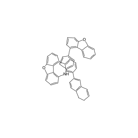 C1=Cc2cc(-c3cccc(-c4cccc5oc6cccc(Nc7ccc(-c8cccc9oc%10ccccc%10c89)cc7)c6c45)c3)ccc2CC1